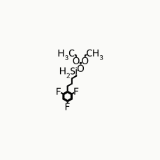 CCOC(OCC)O[SiH2]CCCCc1c(F)cc(F)cc1F